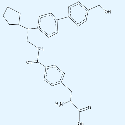 N[C@H](Cc1ccc(C(=O)NC[C@@H](c2ccc(-c3ccc(CO)cc3)cc2)C2CCCC2)cc1)C(=O)O